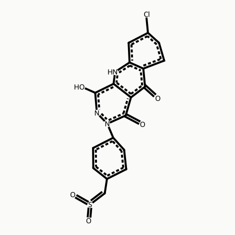 O=c1c2ccc(Cl)cc2[nH]c2c(O)nn(-c3ccc(C=S(=O)=O)cc3)c(=O)c12